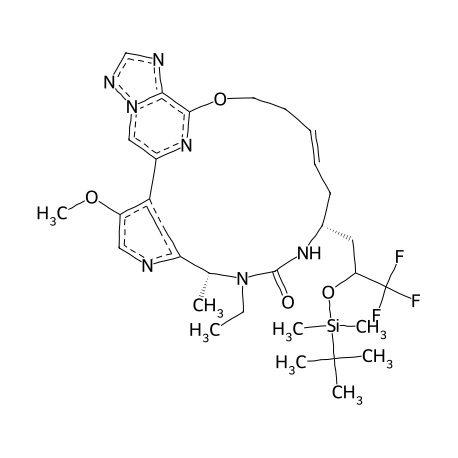 CCN1C(=O)N[C@@H](CC(O[Si](C)(C)C(C)(C)C)C(F)(F)F)C/C=C/CCOc2nc(cn3ncnc23)-c2cc(ncc2OC)[C@H]1C